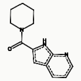 O=C(c1cc2cccnc2[nH]1)N1CCCCC1